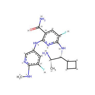 CNc1ncc(Nc2nc(N[C@H](C3CCC3)[C@H](C)N)c(F)cc2C(N)=O)cc1F